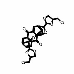 O=C1c2cc3ccc2C(=O)c2c1cc1c(c2OC1C1OCC(CCl)O1)OC3C1OCC(CCl)O1